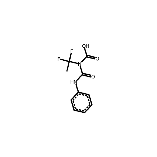 O=C(O)N(C(=O)Nc1ccccc1)C(F)(F)F